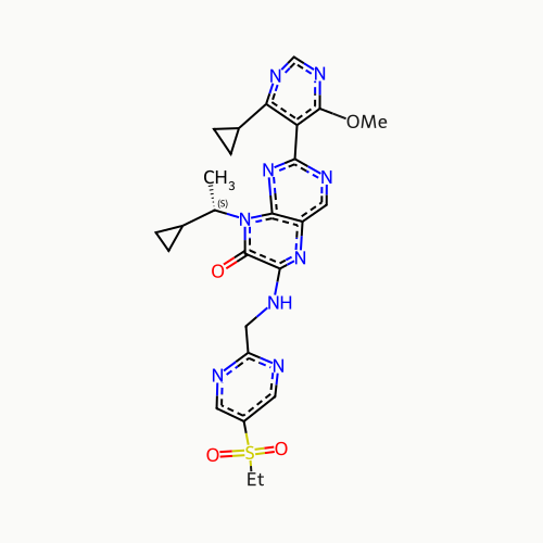 CCS(=O)(=O)c1cnc(CNc2nc3cnc(-c4c(OC)ncnc4C4CC4)nc3n([C@@H](C)C3CC3)c2=O)nc1